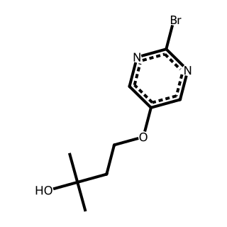 CC(C)(O)CCOc1cnc(Br)nc1